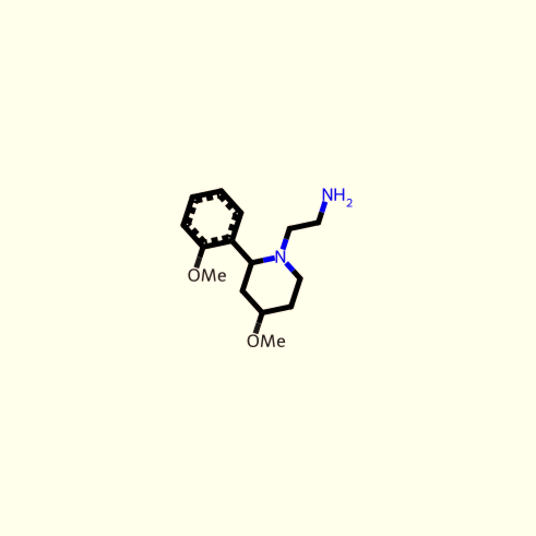 COc1ccccc1C1CC(OC)CCN1CCN